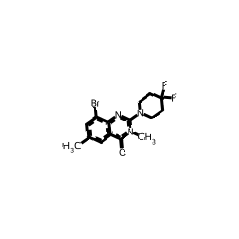 Cc1cc(Br)c2nc(N3CCC(F)(F)CC3)n(C)c(=O)c2c1